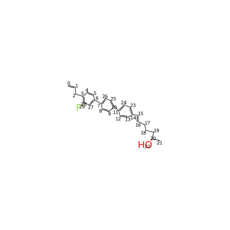 C=CCc1ccc(-c2ccc(-c3ccc(C=CCCCC(C)O)cc3)cc2)cc1F